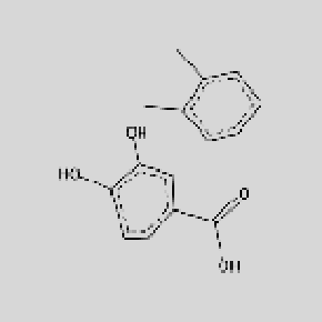 Cc1ccccc1C.O=C(O)c1ccc(O)c(O)c1